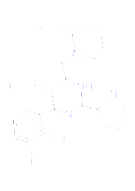 CCOC(=O)C1=C(CN2CCOCC2C(=O)O)NC(c2nccs2)=NC1c1cccc(F)c1Cl